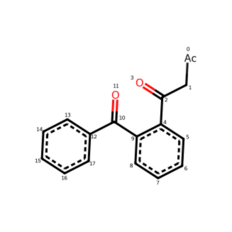 CC(=O)CC(=O)c1ccccc1C(=O)c1ccccc1